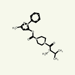 Cc1cc(OC(=O)N2CCN(C(=O)[C@@H](N)C(C)C)CC2)n(-c2ccccc2)n1